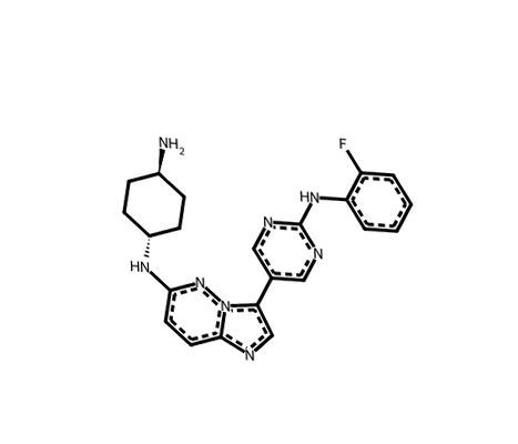 N[C@H]1CC[C@H](Nc2ccc3ncc(-c4cnc(Nc5ccccc5F)nc4)n3n2)CC1